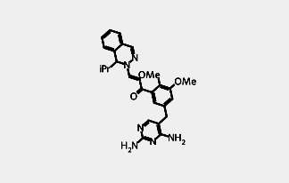 COc1cc(Cc2cnc(N)nc2N)cc(C(=O)/C=C/N2N=Cc3ccccc3C2C(C)C)c1OC